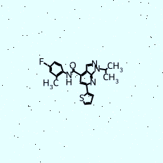 Cc1cc(F)ccc1NC(=O)c1cc(-c2cccs2)nc2c1cnn2C(C)C